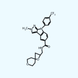 Cn1cc2c3cc(C(=O)NCC4CC5(CCOCC5)O4)ccc3n(-c3ccc(C(F)(F)F)cc3)c2n1